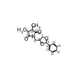 CC1C(=O)N(CC2COC(c3ccccc3)O2)C(=O)C1C